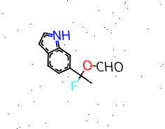 CC(F)(OC=O)c1ccc2cc[nH]c2c1